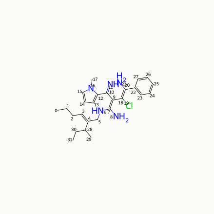 CCC/C=C(/CN/C(N)=C(C(=N)c1cccn1C)/C(Cl)=C(\N)c1ccccc1)C(C)CC